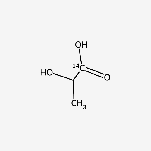 CC(O)[14C](=O)O